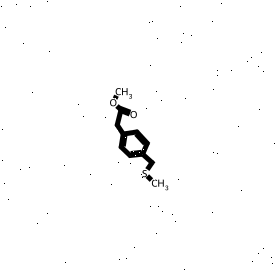 COC(=O)Cc1ccc(CSC)cc1